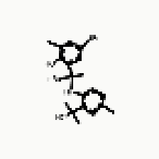 CCCCC(C)(Pc1ccc(C)cc1C(C)(C)O)c1cc(C(C)(C)C)cc(C)c1O